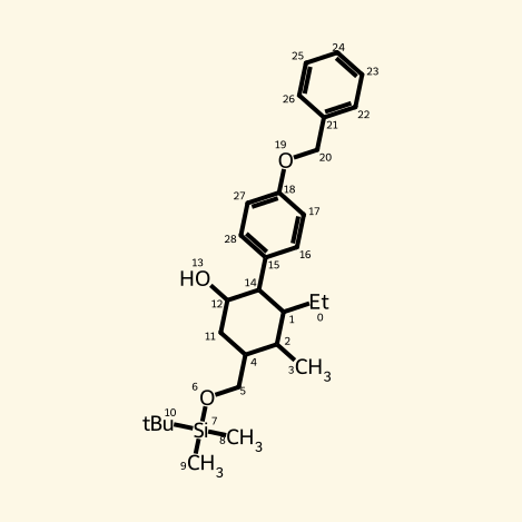 CCC1C(C)C(CO[Si](C)(C)C(C)(C)C)CC(O)C1c1ccc(OCc2ccccc2)cc1